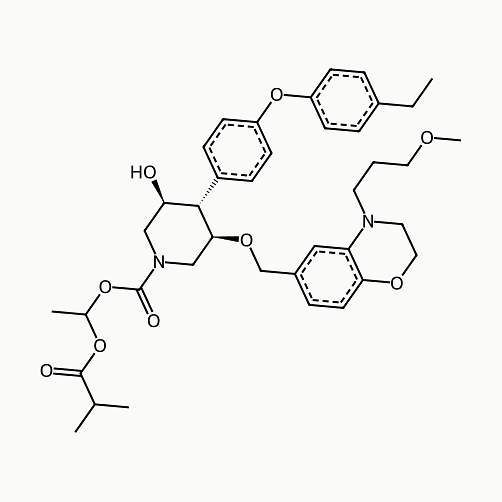 CCc1ccc(Oc2ccc([C@H]3[C@H](O)CN(C(=O)OC(C)OC(=O)C(C)C)C[C@@H]3OCc3ccc4c(c3)N(CCCOC)CCO4)cc2)cc1